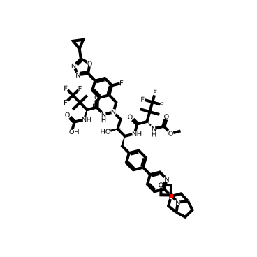 COC(=O)N[C@H](C(=O)N[C@@H](Cc1ccc(-c2ccc(N3CC4CCC(C3)N4C3COC3)nc2)cc1)[C@@H](O)CN(Cc1c(F)cc(-c2nnc(C3CC3)o2)cc1F)NC(=O)[C@@H](NC(=O)O)C(C)(C)C(F)(F)F)C(C)(C)C(F)(F)F